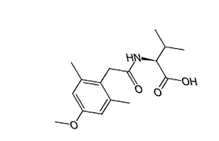 COc1cc(C)c(CC(=O)N[C@H](C(=O)O)C(C)C)c(C)c1